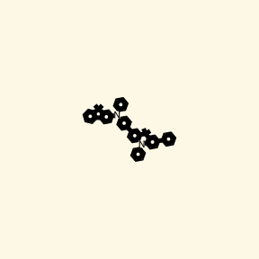 CC1(C)c2ccccc2-c2ccc(N(c3ccccc3)c3ccc(-c4ccc5c(c4)C(C)(C)c4cc(-c6ccccc6)ccc4N5c4ccccc4)cc3)cc21